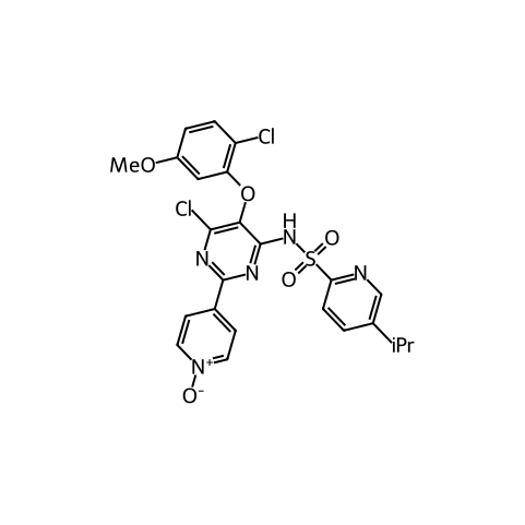 COc1ccc(Cl)c(Oc2c(Cl)nc(-c3cc[n+]([O-])cc3)nc2NS(=O)(=O)c2ccc(C(C)C)cn2)c1